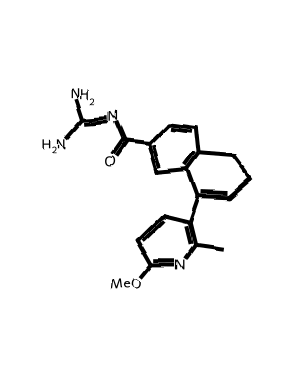 COc1ccc(C2=CCCc3ccc(C(=O)N=C(N)N)cc32)c(C)n1